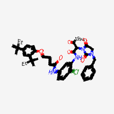 CCC(C)(C)c1ccc(OCCCC(=O)Nc2ccc(Cl)c(NC(=O)C(C(=O)C(C)(C)C)N3C(=O)CN(Cc4ccccc4)C3=O)c2)c(C(C)(C)CC)c1